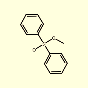 CO[Si]([O])(c1ccccc1)c1ccccc1